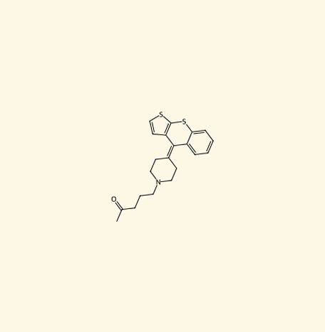 CC(=O)CCCN1CCC(=C2c3ccccc3Sc3sccc32)CC1